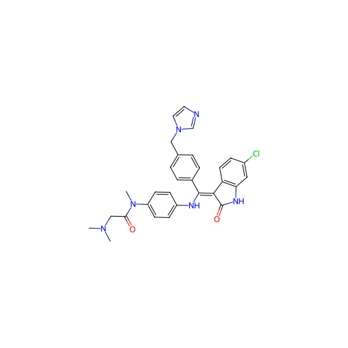 CN(C)CC(=O)N(C)c1ccc(N/C(=C2\C(=O)Nc3cc(Cl)ccc32)c2ccc(Cn3ccnc3)cc2)cc1